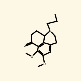 CCCN1CCc2cc(OC)c(OC)c3c2C1CCC3=O